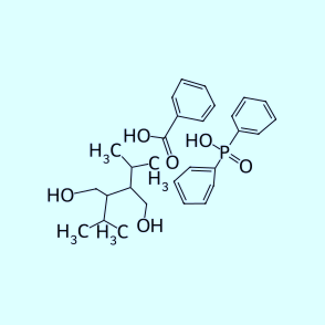 CC(C)C(CO)C(CO)C(C)C.O=C(O)c1ccccc1.O=P(O)(c1ccccc1)c1ccccc1